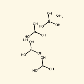 OB(O)O.OB(O)O.OB(O)O.OB(O)O.[LiH].[SrH2]